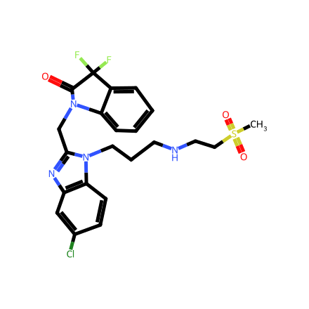 CS(=O)(=O)CCNCCCn1c(CN2C(=O)C(F)(F)c3ccccc32)nc2cc(Cl)ccc21